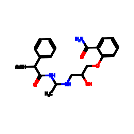 CC(=O)NC(C(=O)NC(C)NCC(O)COc1ccccc1C(N)=O)c1ccccc1